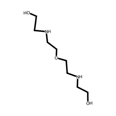 OCCNCCOCCNCCO